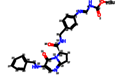 CC(C)(C)OC(=O)NC=Nc1ccc(CNC(=O)[C@@H]2CCc3ncc(NCc4ccccc4)c(=O)n32)cc1